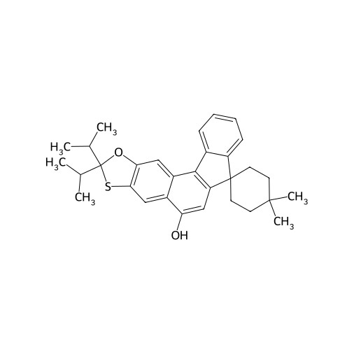 CC(C)C1(C(C)C)Oc2cc3c4c(cc(O)c3cc2S1)C1(CCC(C)(C)CC1)c1ccccc1-4